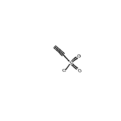 C#CS(=O)(=O)Cl